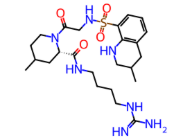 CC1CNc2c(cccc2S(=O)(=O)NCC(=O)N2CCC(C)C[C@H]2C(=O)NCCCCNC(=N)N)C1